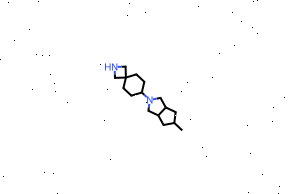 CC1CC2CN(C3CCC4(CC3)CNC4)CC2C1